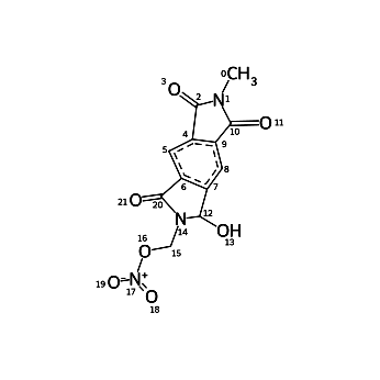 CN1C(=O)c2cc3c(cc2C1=O)C(O)N(CO[N+](=O)[O-])C3=O